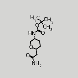 CC(C)(C)OC(=O)N[C@@H]1CC[C@@H](CC(N)=O)OC1